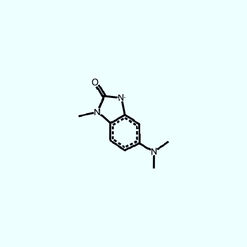 CN(C)c1ccc2c(c1)[N]C(=O)N2C